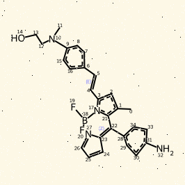 Cc1cc(/C=C/c2ccc(N(C)CCO)cc2)n(B(F)F)c1/C(=C1/C=CC=N1)c1ccc(N)cc1